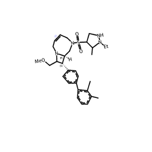 CCN1NCC(S(=O)(=O)N2C/C=C\CN3C(COC)[C@@H](c4ccc(-c5cccc(C)c5C)cc4)[C@@H]3C2)C1C